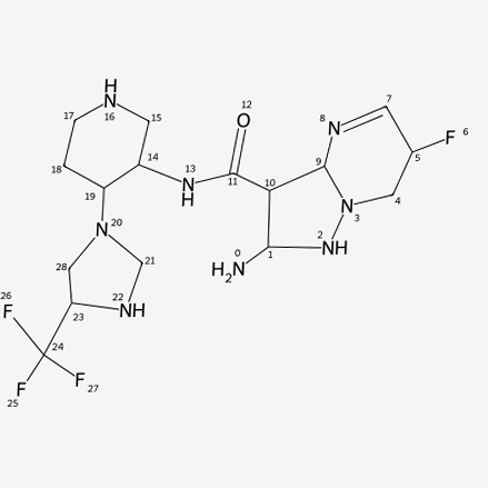 NC1NN2CC(F)C=NC2C1C(=O)NC1CNCCC1N1CNC(C(F)(F)F)C1